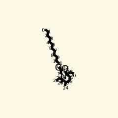 CCCCCCCCCCCCOC(=O)CN1C(C)(CC)CCC(C)C1(C)CC